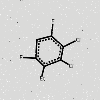 CCc1c(F)cc(F)c(Cl)c1Cl